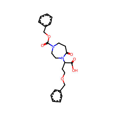 O=C(O)C(CCOCc1ccccc1)N1CCN(C(=O)OCc2ccccc2)CCC1=O